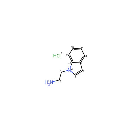 Cl.NCCn1ccc2ccccc21